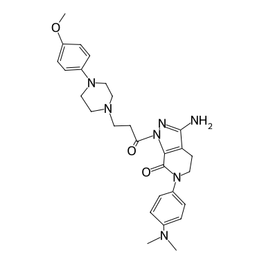 COc1ccc(N2CCN(CCC(=O)n3nc(N)c4c3C(=O)N(c3ccc(N(C)C)cc3)CC4)CC2)cc1